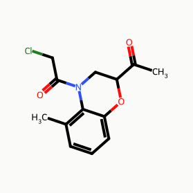 CC(=O)C1CN(C(=O)CCl)c2c(C)cccc2O1